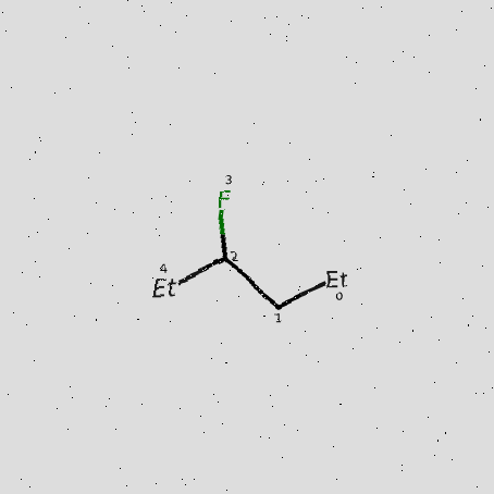 CCCC(F)CC